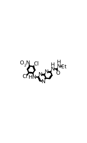 CCNC(=O)Nc1ccc2ncc(Nc3cc(Cl)c([N+](=O)[O-])cc3Cl)nc2n1